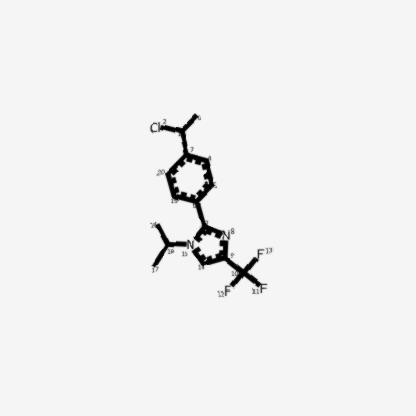 CC(Cl)c1ccc(-c2nc(C(F)(F)F)cn2C(C)C)cc1